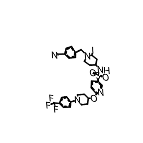 N#Cc1ccc(CN2CCC(NS(=O)(=O)c3ccc(OC4CCN(c5ccc(C(F)(F)F)cc5)CC4)nc3)CC2I)cc1